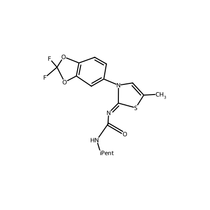 CCCC(C)NC(=O)N=c1sc(C)cn1-c1ccc2c(c1)OC(F)(F)O2